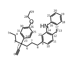 C#CC(CCC)(CCCc1ccc(F)c(Nc2ccccc2)c1)c1ccc(OCC)cc1